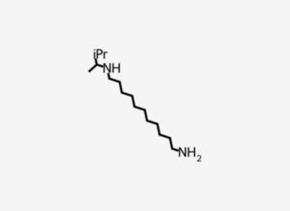 CC(C)C(C)NCCCCCCCCCCCN